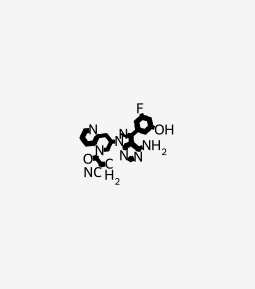 C=C(C#N)C(=O)N1CC(n2nc(-c3cc(O)cc(F)c3)c3c(N)ncnc32)Cc2ncccc21